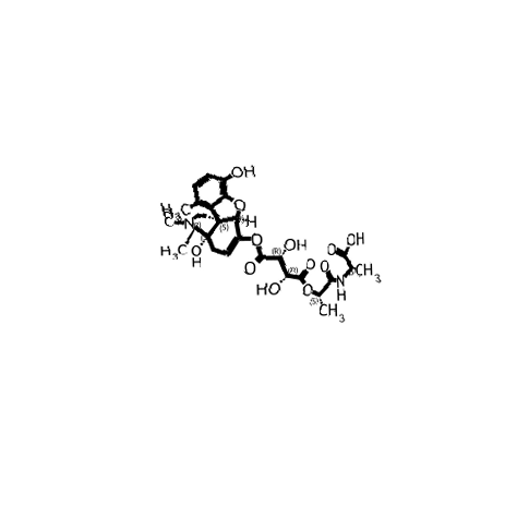 Cc1ccc(O)c2c1[C@]13CCN(C)[C@H](C)[C@]1(O)CC=C(OC(=O)[C@H](O)[C@@H](O)C(=O)O[C@@H](C)C(=O)N[C@@H](C)C(=O)O)[C@@H]3O2